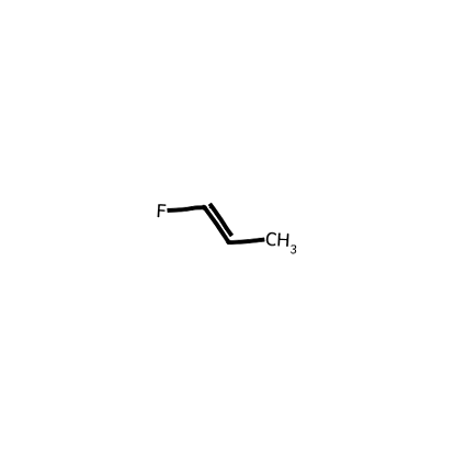 C/C=[C]/F